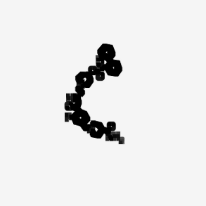 NC(=O)C1CCN(Cc2ccc(C(=O)CNCCN3CCC(OC(=O)Nc4ccccc4-c4ccccc4)CC3)c(F)c2)CC1